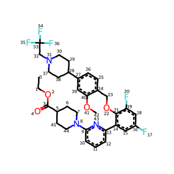 CCOC(=O)C1CCN(c2cccc(-c3cc(F)cc(F)c3OCc3ccc(C4CCN(CC(F)(F)F)CC4)cc3OC)n2)CC1